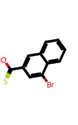 OC(=S)c1cc(Br)c2ccccc2c1